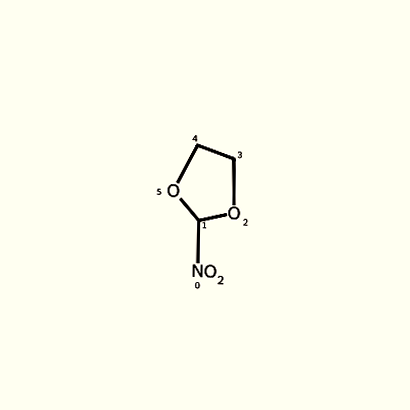 O=[N+]([O-])C1OCCO1